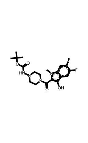 Cn1c(C(=O)N2CCN(NC(=O)OC(C)(C)C)CC2)c(O)c2cc(F)c(F)cc21